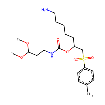 CCOC(CCNC(=O)OC(CCCCCN)CS(=O)(=O)c1ccc(C)cc1)OCC